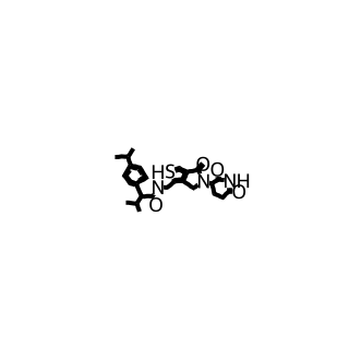 CC(C)c1ccc(C(C(=O)NCc2scc3c2CN(C2CCC(=O)NC2=O)C3=O)C(C)C)cc1